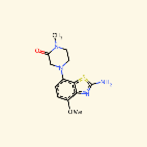 COc1ccc(N2CCN(C)C(=O)C2)c2sc(N)nc12